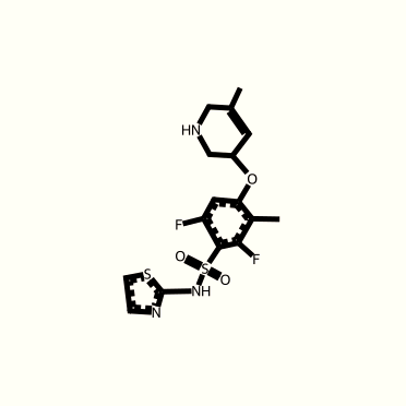 CC1=CC(Oc2cc(F)c(S(=O)(=O)Nc3nccs3)c(F)c2C)CNC1